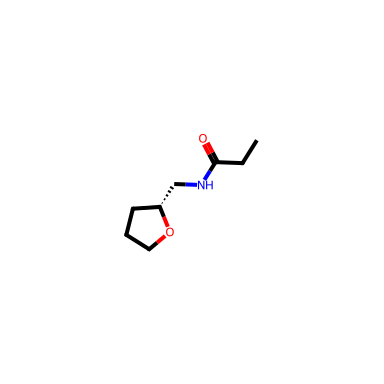 CCC(=O)NC[C@H]1CCCO1